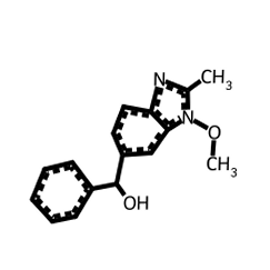 COn1c(C)nc2ccc(C(O)c3ccccc3)cc21